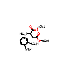 CCCCCCCCCc1ccccc1S(=O)(=O)O.CCCCCCCCOC(=O)CC(C(=O)OCCCCCCCC)S(=O)(=O)O